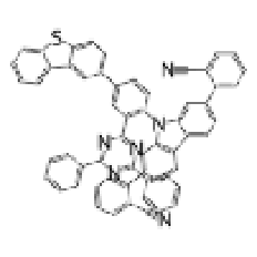 N#Cc1ccccc1-c1ccc2c3ccc(-c4ccccc4C#N)cc3n(-c3ccc(-c4ccc5sc6ccccc6c5c4)cc3-c3nc(-c4ccccc4)nc(-c4ccccc4)n3)c2c1